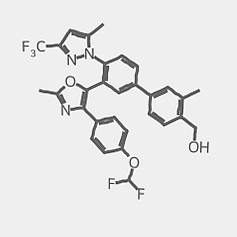 Cc1nc(-c2ccc(OC(F)F)cc2)c(-c2cc(-c3ccc(CO)c(C)c3)ccc2-n2nc(C(F)(F)F)cc2C)o1